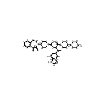 Cc1cc(C(C)C(OC(=O)N2CCC(N3CCc4ccccc4NC3=O)CC2)C(=O)N2CCC(N3CCN(C)CC3)CC2)cc2nc[nH]c12